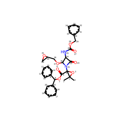 CC1(C)OC1(C(=O)OC(c1ccccc1)c1ccccc1)N1C(=O)C(NC(=O)OCc2ccccc2)C1OCC1CO1